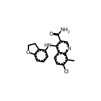 Cc1c(Cl)ccc2c(Nc3cccc4c3CCO4)c(C(N)=O)cnc12